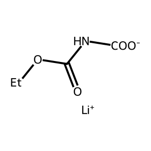 CCOC(=O)NC(=O)[O-].[Li+]